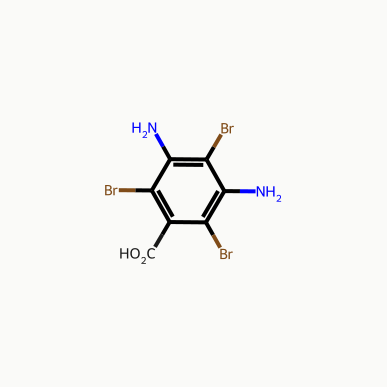 Nc1c(Br)c(N)c(Br)c(C(=O)O)c1Br